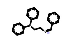 C(=N/CCP(c1ccccc1)c1ccccc1)/c1ccccc1